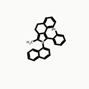 Cc1c2c(c(-c3ccccc3C(C)C)n1-c1cccc3ccccc13)-c1ccccc1CC2